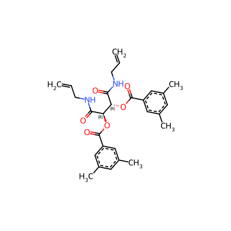 C=CCNC(=O)[C@H](OC(=O)c1cc(C)cc(C)c1)[C@@H](OC(=O)c1cc(C)cc(C)c1)C(=O)NCC=C